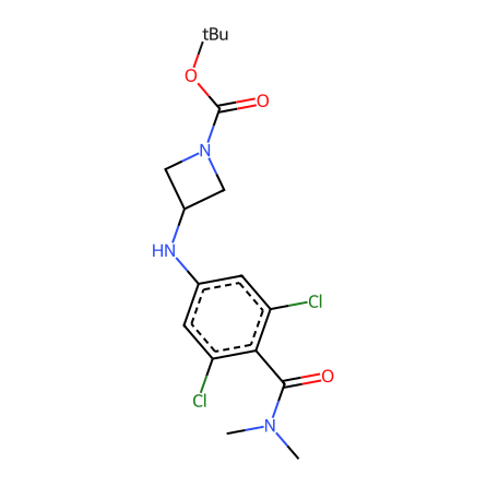 CN(C)C(=O)c1c(Cl)cc(NC2CN(C(=O)OC(C)(C)C)C2)cc1Cl